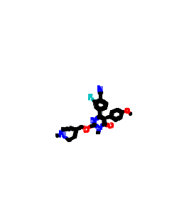 COc1ccc(-c2c(-c3ccc(C#N)c(F)c3)nc(OCC3CCN(C)CC3)n(C)c2=O)cc1